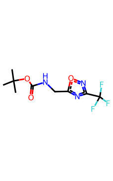 CC(C)(C)OC(=O)NCc1nc(C(F)(F)F)no1